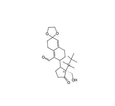 CC(C)(C)[Si](C)(C)[C@@]1(CO)C(=O)CCC1C1CCC2=CC3(CCC2=C1C=O)OCCO3